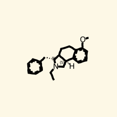 CCN1C[C@@H]2c3cccc(OC)c3CCC2[C@H]1Cc1ccccc1